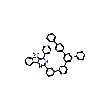 C[Si]1(C)c2ccccc2-c2nc(-c3cccc(-c4cccc(-c5cc(-c6ccccc6)cc(-c6ccc(-c7ccccc7)cc6)c5)c4)c3)nc(-c3ccccc3)c21